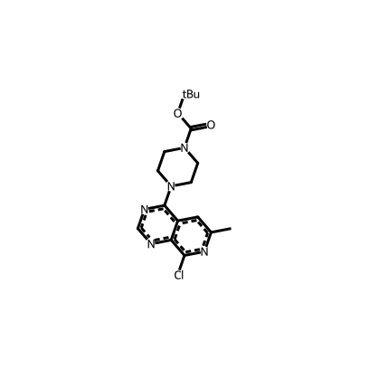 Cc1cc2c(N3CCN(C(=O)OC(C)(C)C)CC3)ncnc2c(Cl)n1